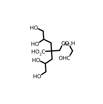 CC(=O)CC=O.O=C(O)CC(CC(O)CO)(CC(O)CO)C(=O)O